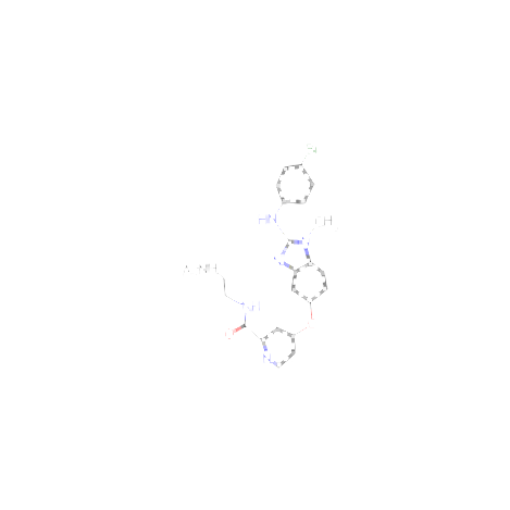 CC(=O)NCCNC(=O)c1cc(Oc2ccc3c(c2)nc(Nc2ccc(Br)cc2)n3C)ccn1